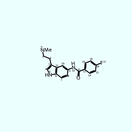 CNCCc1c[nH]c2ccc(NC(=O)c3ccc(F)cc3)cc12